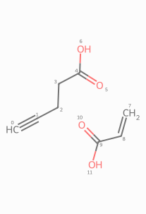 C#CCCC(=O)O.C=CC(=O)O